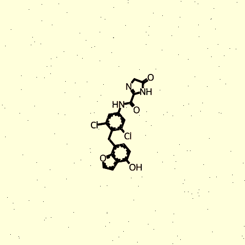 O=C1CN=C(C(=O)Nc2cc(Cl)c(Cc3ccc(O)c4ccoc34)c(Cl)c2)N1